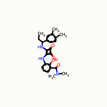 CCC(Nc1c(Nc2cccc(C(=O)N(C)C)c2O)c(=O)c1=O)c1ccc(C)c(C)c1